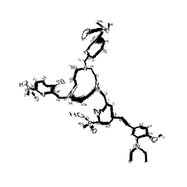 CCN(CC)c1cc(C#Cc2cc(CN3CCN(Cc4cccc(P(C)(=O)O)n4)CCN(Cc4cccc(P(C)(=O)OC)n4)CC3)nc(P(C)(=O)O)c2)ccc1OC